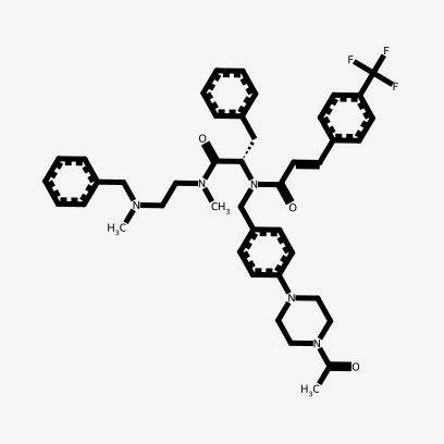 CC(=O)N1CCN(c2ccc(CN(C(=O)/C=C/c3ccc(C(F)(F)F)cc3)[C@@H](Cc3ccccc3)C(=O)N(C)CCN(C)Cc3ccccc3)cc2)CC1